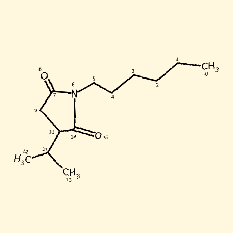 CCCCCCN1C(=O)CC(C(C)C)C1=O